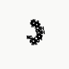 N#Cc1cc(Oc2ccc(NC(=O)Nc3ccc4ncccc4c3)cc2)ccn1